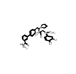 CNC(=O)c1cccc(-c2ccc(CC(N3CCCC3)N(C)C(=O)CN(C)c3ccc(Cl)c(Cl)c3)cc2)c1